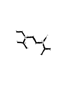 CCN(CCN(I)C(C)C)C(C)C